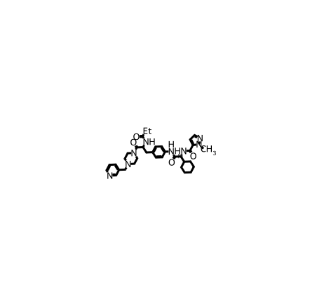 CCC(=O)NC(Cc1ccc(NC(=O)[C@@H](NC(=O)c2ccnn2C)C2CCCCC2)cc1)C(=O)N1CCN(Cc2cccnc2)CC1